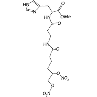 COC(=O)C(Cc1c[nH]cn1)NC(=O)CCNC(=O)CCCC(CO[N+](=O)[O-])O[N+](=O)[O-]